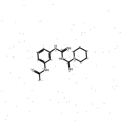 CC(=O)Nc1cccc(NC(=N)NC(=N)N2CCCCC2)c1